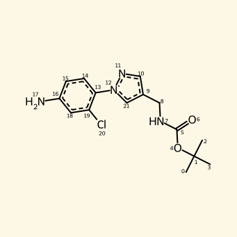 CC(C)(C)OC(=O)NCc1cnn(-c2ccc(N)cc2Cl)c1